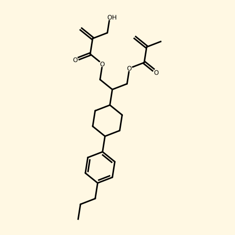 C=C(C)C(=O)OCC(COC(=O)C(=C)CO)C1CCC(c2ccc(CCC)cc2)CC1